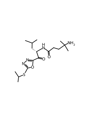 CC(C)C[C@H](NC(=O)CCC(C)(C)N)C(=O)c1nnc(SC(C)C)o1